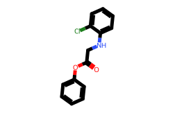 O=C(CNc1ccccc1Cl)Oc1ccccc1